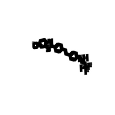 COc1ccc2nc(-c3ccc(C=Cc4ccc(NCCC(F)(F)F)cc4)cc3)sc2c1